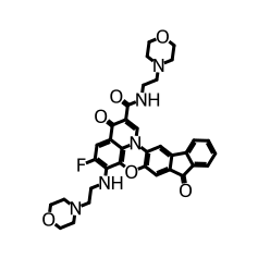 O=C(NCCN1CCOCC1)c1cn2c3cc4c(cc3oc3c(NCCN5CCOCC5)c(F)cc(c1=O)c32)c(=O)c1ccccc14